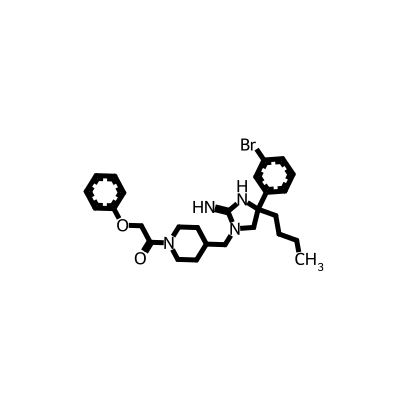 CCCCC1(c2cccc(Br)c2)CN(CC2CCN(C(=O)COc3ccccc3)CC2)C(=N)N1